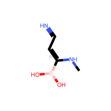 CN/C(=C\C=N)B(O)O